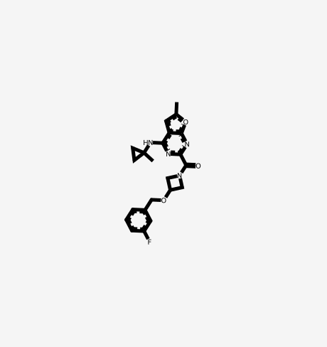 Cc1cc2c(NC3(C)CC3)nc(C(=O)N3CC(OCc4cccc(F)c4)C3)nc2o1